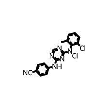 Cc1cccc(Cl)c1N(Cl)c1ncnc(Nc2ccc(C#N)cc2)n1